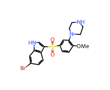 COc1ccc(S(=O)(=O)c2c[nH]c3cc(Br)ccc23)cc1N1CCNCC1